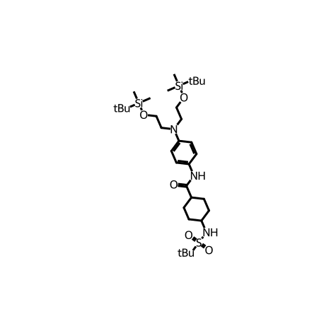 CC(C)(C)[Si](C)(C)OCCN(CCO[Si](C)(C)C(C)(C)C)c1ccc(NC(=O)C2CCC(NS(=O)(=O)C(C)(C)C)CC2)cc1